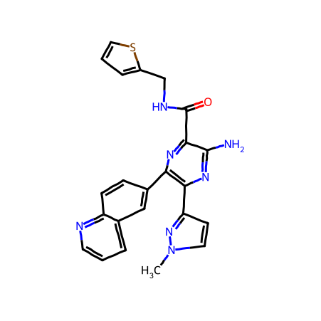 Cn1ccc(-c2nc(N)c(C(=O)NCc3cccs3)nc2-c2ccc3ncccc3c2)n1